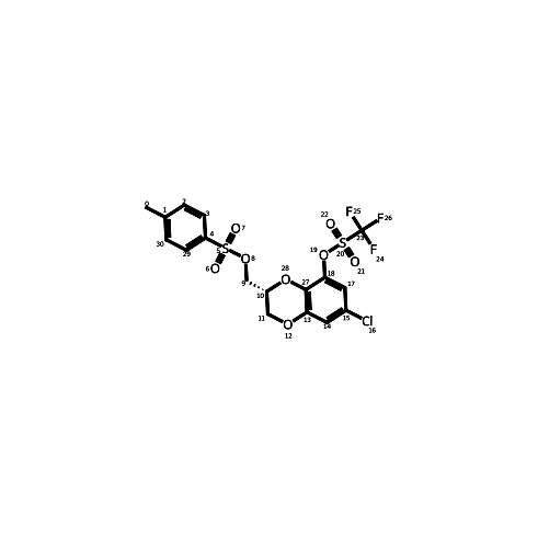 Cc1ccc(S(=O)(=O)OC[C@H]2COc3cc(Cl)cc(OS(=O)(=O)C(F)(F)F)c3O2)cc1